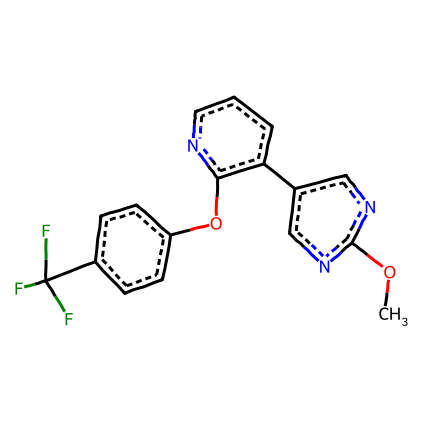 COc1ncc(-c2cccnc2Oc2ccc(C(F)(F)F)cc2)cn1